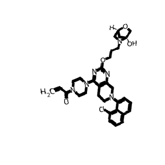 C=CC(=O)N1CCN(c2nc(OCCCN3C[C@@H]4C[C@@]3(O)CO4)nc3c2CCN(c2cccc4cccc(Cl)c24)C3)CC1